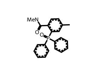 CNC(=O)c1ccc(C)cc1P(=O)(c1ccccc1)c1ccccc1